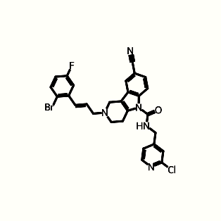 N#Cc1ccc2c(c1)c1c(n2C(=O)NCc2ccnc(Cl)c2)CCN(C/C=C/c2cc(F)ccc2Br)C1